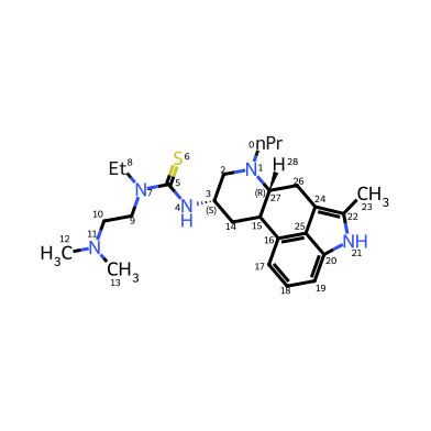 CCCN1C[C@@H](NC(=S)N(CC)CCN(C)C)CC2c3cccc4[nH]c(C)c(c34)C[C@H]21